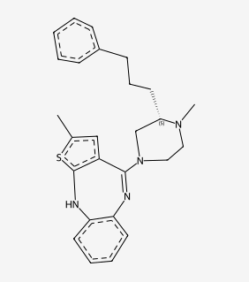 Cc1cc2c(s1)Nc1ccccc1N=C2N1CCN(C)[C@@H](CCCc2ccccc2)C1